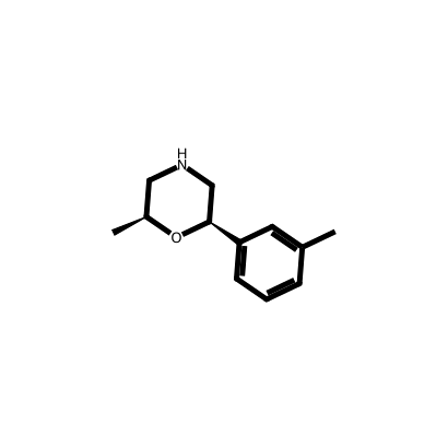 Cc1cccc([C@@H]2CNC[C@H](C)O2)c1